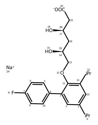 CC(C)c1cc(-c2ccc(F)cc2)c(OC[C@@H](O)C[C@@H](O)CC(=O)[O-])c(C(C)C)c1.[Na+]